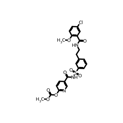 COC(=O)Oc1ccc(C(=O)NS(=O)(=O)c2cccc(CCNC(=O)c3cc(Cl)ccc3OC)c2)cn1